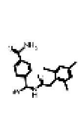 Cc1cc(C)c(CC(=O)NC(c2ccc(C(N)=O)cc2)C(C)C)c(C)c1